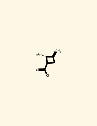 C=C1CC(C(=O)Cl)[C@@H]1CCC